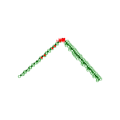 CO.CO.CO.CO.CO.ClCCl.ClCCl.ClCCl.ClCCl.ClCCl.ClCCl.ClCCl.ClCCl.ClCCl.ClCCl.ClCCl.ClCCl.ClCCl.ClCCl.ClCCl.ClCCl.ClCCl.ClCCl.ClCCl.ClCCl.ClCCl.ClCCl.ClCCl.ClCCl.ClCCl.ClCCl.ClCCl.ClCCl.ClCCl.ClCCl.ClCCl.ClCCl.ClCCl.ClCCl.ClCCl.ClCCl.ClCCl.ClCCl.ClCCl.ClCCl.ClCCl.ClCCl.ClCCl.ClCCl.ClCCl